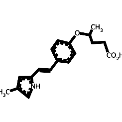 Cc1c[nH]c(C=Cc2ccc(OC(C)CCC(=O)O)cc2)c1